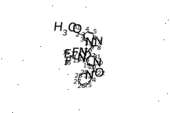 COCc1ccc2ncc(-c3nn(CC(F)(F)F)c4cc(C(=O)N5CCCCCC5)ncc34)n2c1